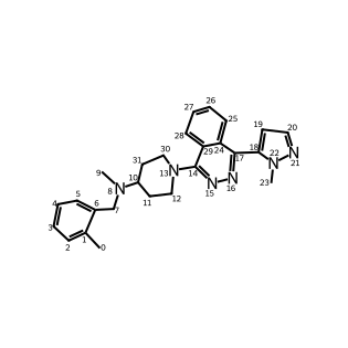 Cc1ccccc1CN(C)C1CCN(c2nnc(-c3ccnn3C)c3ccccc23)CC1